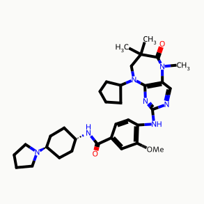 COc1cc(C(=O)N[C@H]2CC[C@H](N3CCCC3)CC2)ccc1Nc1ncc2c(n1)N(C1CCCC1)CC(C)(C)C(=O)N2C